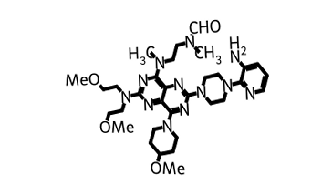 COCCN(CCOC)c1nc(N(C)CCN(C)C=O)c2nc(N3CCN(c4ncccc4N)CC3)nc(N3CCC(OC)CC3)c2n1